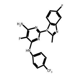 Cc1nc2cc(F)ccc2n1-c1nc(N)c(F)c(Nc2ccc(C(F)(F)F)cc2)n1